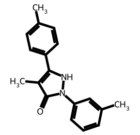 Cc1ccc(-c2[nH]n(-c3cccc(C)c3)c(=O)c2C)cc1